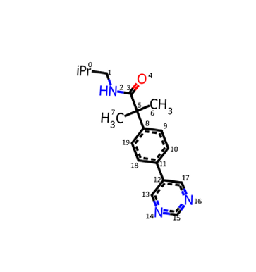 CC(C)CNC(=O)C(C)(C)c1ccc(-c2cncnc2)cc1